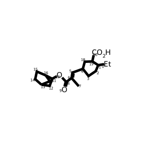 CCC1CCC(C=C(C)C(=O)OC2CC3CCC2C3)CC1C(=O)O